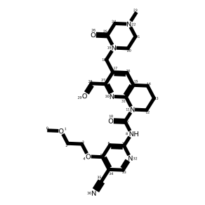 COCCOc1cc(NC(=O)N2CCCc3cc(CN4CCN(C)CC4=O)c(C=O)nc32)ncc1C#N